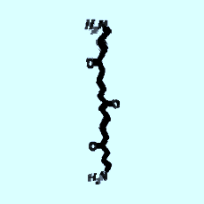 NCCCC(=O)CCCCC(=O)CCCCC(=O)CCCN